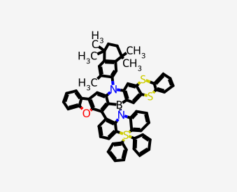 Cc1cc2c(cc1N1c3cc4c(cc3B3c5c1cc1c(oc6ccccc61)c5-c1cccc5c1N3c1ccccc1S5(c1ccccc1)c1ccccc1)Sc1ccccc1S4)C(C)(C)CCC2(C)C